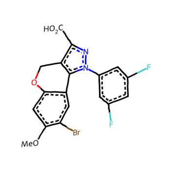 COc1cc2c(cc1Br)-c1c(c(C(=O)O)nn1-c1cc(F)cc(F)c1)CO2